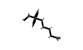 COS(=S)(=S)SSSSO